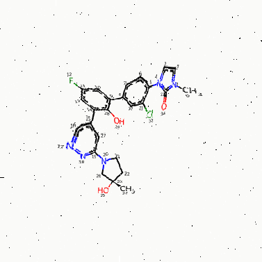 Cn1ccn(-c2ccc(-c3cc(F)cc(-c4cnnc(N5CC[C@](C)(O)C5)c4)c3O)cc2Cl)c1=O